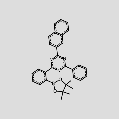 CC1(C)OB(c2ccccc2-c2nc(-c3ccccc3)nc(-c3ccc4ccccc4c3)n2)OC1(C)C